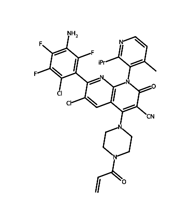 C=CC(=O)N1CCN(c2c(C#N)c(=O)n(-c3c(C)ccnc3C(C)C)c3nc(-c4c(F)c(N)c(F)c(F)c4Cl)c(Cl)cc23)CC1